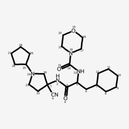 N#CC1(NC(=O)C(CC2CCCCC2)NC(=O)N2CCOCC2)CCN(C2CCCC2)C1